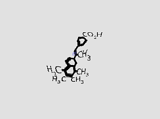 C/C(=C\c1ccc(C(=O)O)cc1)c1ccc2c(C)c(C)c(C)c(C)c2c1